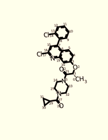 C[C@@H](Oc1ccc2c(-c3ccccc3Cl)cc(Cl)nc2c1)C(=O)N1CCN(C(=O)C2CC2)CC1